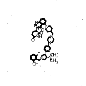 Cc1cccc(F)c1CN1C[C@H](c2ccc(N3CCN(CC4CCN(c5cccc6nnn(C7CCC(=O)NC7=O)c(=O)c56)CC4)CC3)cc2)[C@@H](N(C)C)C1